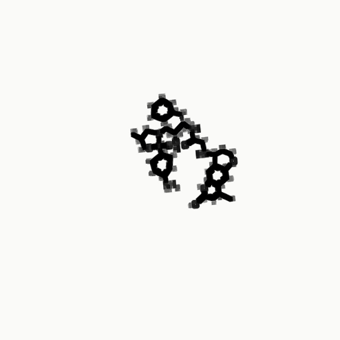 Cc1cc(=O)oc2cc3c(cc12)OCCC3NCC(=O)N[C@@H](Cc1ccccc1)[C@H](O)CN(CC(C)C)S(=O)(=O)c1ccc(N)cc1